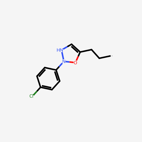 [CH2]CCC1=CNN(c2ccc(Cl)cc2)O1